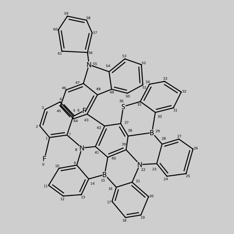 Fc1cccc(F)c1N1c2ccccc2B2c3ccccc3N3c4ccccc4B4c5ccccc5Sc5c4c3c2c1c5-c1cccc2c1c1ccccc1n2-c1ccccc1